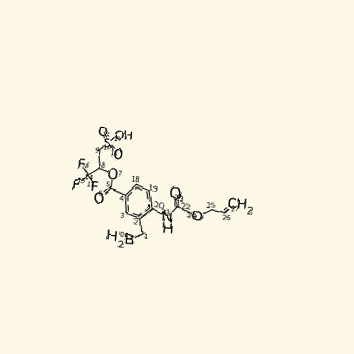 BCc1cc(C(=O)OC(CS(=O)(=O)O)C(F)(F)F)ccc1NC(=O)OCC=C